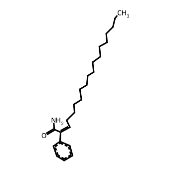 CCCCCCCCCCCCCCCCC=C(C(N)=O)c1ccccc1